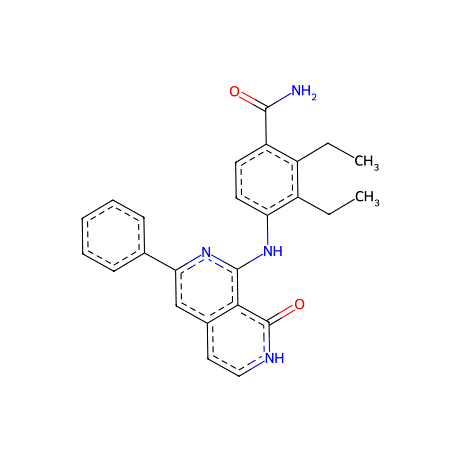 CCc1c(Nc2nc(-c3ccccc3)cc3cc[nH]c(=O)c23)ccc(C(N)=O)c1CC